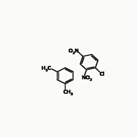 Cc1cccc(C)c1.O=[N+]([O-])c1ccc(Cl)c([N+](=O)[O-])c1